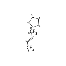 C1CCCC1.FC(F)(F)C=CC(F)(F)F